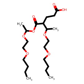 CCCCOCCOC(C)OC(=O)C(CCC(=O)O)C(C)OCCOCCCC